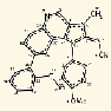 COc1ccc(-n2/c(=N\C#N)n(C)c3cnc4ccc(-c5ccccc5OC(C)C)cc4c32)cn1